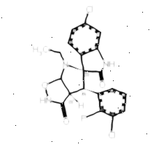 CCN1C2ONC(=O)[C@H]2[C@H](c2cccc(Cl)c2F)[C@]12C(=O)Nc1cc(Cl)ccc12